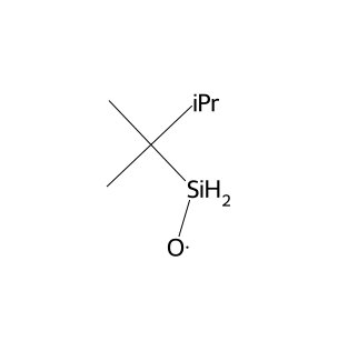 CC(C)C(C)(C)[SiH2][O]